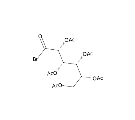 CC(=O)OC[C@@H](OC(C)=O)[C@@H](OC(C)=O)[C@H](OC(C)=O)[C@@H](OC(C)=O)C(=O)Br